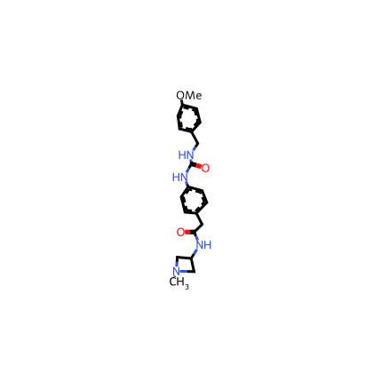 COc1ccc(CNC(=O)Nc2ccc(CC(=O)NC3CN(C)C3)cc2)cc1